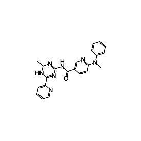 CC1N=C(NC(=O)c2ccc(N(C)c3ccccc3)nc2)N=C(c2ccccn2)N1